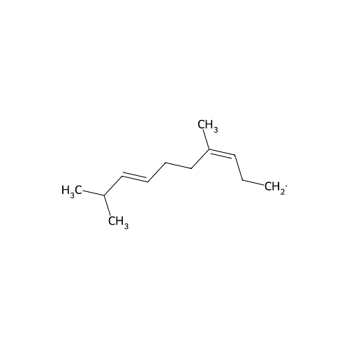 [CH2]CC=C(C)CCC=CC(C)C